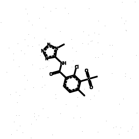 Cc1ccc(C(=O)Nc2nnnn2C)c(Cl)c1S(C)(=O)=O